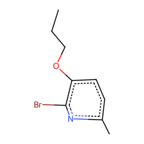 CCCOc1ccc(C)nc1Br